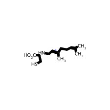 CC(C)=CCC/C(C)=C/CNC(CS)C(=O)O